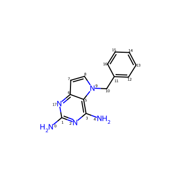 Nc1nc(N)c2c(ccn2Cc2ccccc2)n1